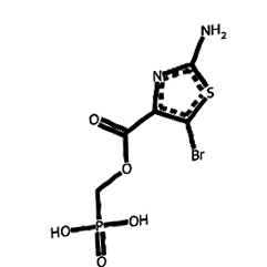 Nc1nc(C(=O)OCP(=O)(O)O)c(Br)s1